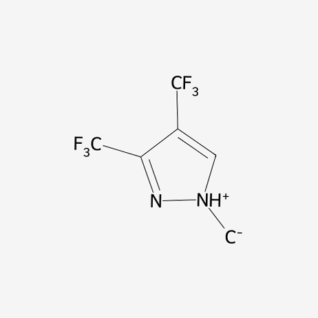 [CH2-][NH+]1C=C(C(F)(F)F)C(C(F)(F)F)=N1